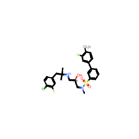 CN(C[C@H](O)CNC(C)(C)Cc1ccc(Cl)c(F)c1)S(=O)(=O)c1cccc(-c2ccc(C(=O)O)c(F)c2)c1